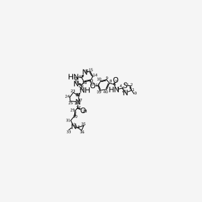 Cc1csc(NC(=O)c2ccc(Oc3ccnc4[nH]nc(N[C@@H]5CCCN(C(=O)C=CCN(C)C6CC6)C5)c34)cc2)n1